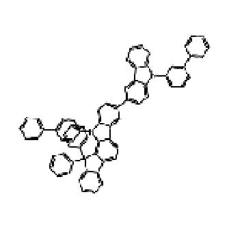 c1ccc(-c2ccc(-n3c4ccc(-c5ccc6c(c5)c5ccccc5n6-c5cccc(-c6ccccc6)c5)cc4c4ccc5c(c43)C(c3ccccc3)(c3ccccc3)c3ccccc3-5)cc2)cc1